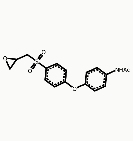 CC(=O)Nc1ccc(Oc2ccc(S(=O)(=O)CC3CO3)cc2)cc1